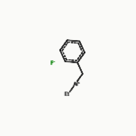 C[CH2][Al+][CH2]c1ccccc1.[F-]